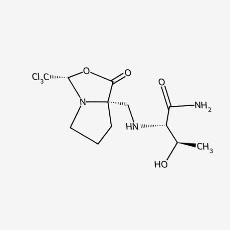 C[C@@H](O)[C@H](NC[C@]12CCCN1[C@H](C(Cl)(Cl)Cl)OC2=O)C(N)=O